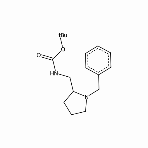 CC(C)(C)OC(=O)NCC1CCCN1Cc1ccccc1